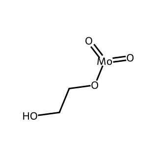 [O]=[Mo](=[O])[O]CCO